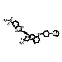 BC(C)(F)Cn1c(C#CCNc2ccc(S(N)(=O)=O)cc2OC)cc2c1=CCCC=2NC1CCC(N2CC3CC(C2)O3)CC1